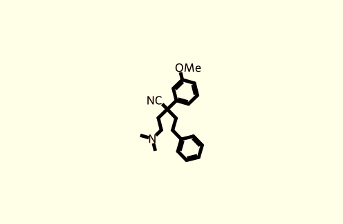 COc1cccc(C(C#N)(CCc2ccccc2)CCN(C)C)c1